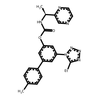 CCc1nnnn1-c1cc(OC(=O)N[C@@H](C)c2cnccn2)cc(-c2ccc(C)cc2)c1